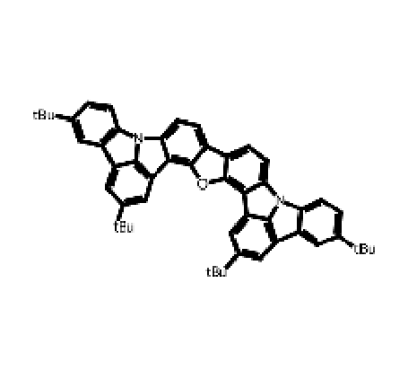 CC(C)(C)c1ccc2c(c1)c1cc(C(C)(C)C)cc3c4c5oc6c(ccc7c6c6cc(C(C)(C)C)cc8c9cc(C(C)(C)C)ccc9n7c86)c5ccc4n2c13